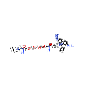 C[N+](C)(C)CCNC(=O)CCOCCOCCOCCOCCNC(=O)CCCCC[n+]1c(-c2ccccc2)c2cc(N)ccc2c2ccc(N=[N+]=[N-])cc21